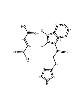 Cc1c(C(=O)CCc2c[nH]cn2)c2ccccc2n1C.O=C(O)C=CC(=O)O